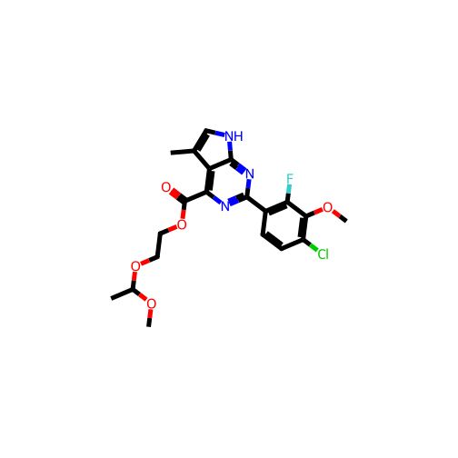 COc1c(Cl)ccc(-c2nc(C(=O)OCCOC(C)OC)c3c(C)c[nH]c3n2)c1F